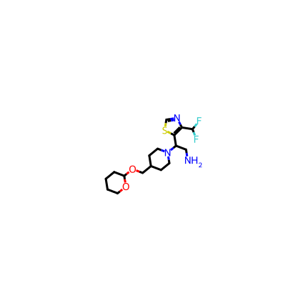 NCC(c1scnc1C(F)F)N1CCC(COC2CCCCO2)CC1